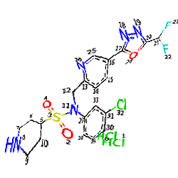 Cl.Cl.O=S(=O)(C1CCNCC1)N(Cc1ccc(-c2nnc(C(F)F)o2)cn1)c1cccc(Cl)c1